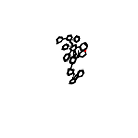 C1#CCC(c2cc(S(c3ccccc3)(c3ccccc3)c3cccc(-c4ccccc4)c3)cc(-c3ccccc3)c2-n2c3c(c4cc(-c5cccc(-n6c7ccccc7c7ccccc76)c5)ccc42)C=CCC3)=CC=C1